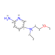 CCN(CCOC)c1ccc(N)nc1